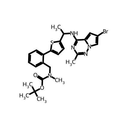 Cc1nc(NC(C)c2ccc(-c3ccccc3CN(C)C(=O)OC(C)(C)C)s2)c2cc(Br)cn2n1